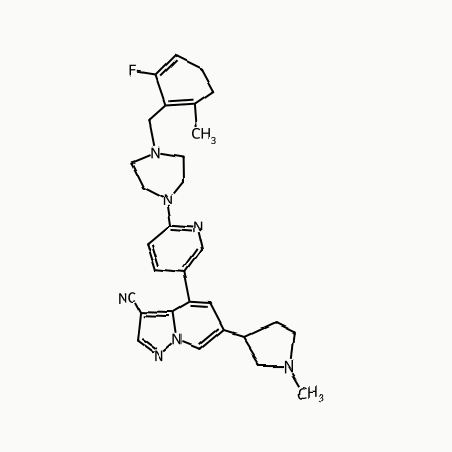 CC1=C(CN2CCN(c3ccc(-c4cc(C5CCN(C)C5)cn5ncc(C#N)c45)cn3)CC2)C(F)=CCC1